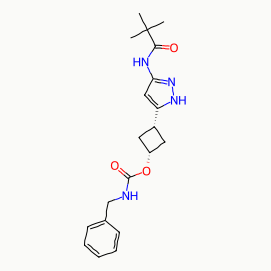 CC(C)(C)C(=O)Nc1cc([C@H]2C[C@@H](OC(=O)NCc3ccccc3)C2)[nH]n1